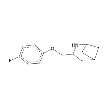 Fc1ccc(OCC2CC3CC(C3)N2)cc1